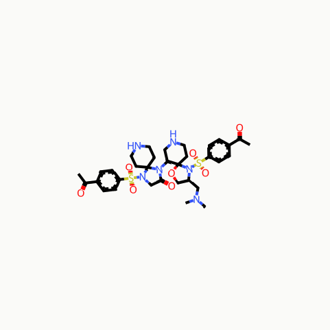 CC(=O)c1ccc(S(=O)(=O)N2C(CN(C)C)COC23CCNCC3N2C(=O)CN(S(=O)(=O)c3ccc(C(C)=O)cc3)C23CCNCC3)cc1